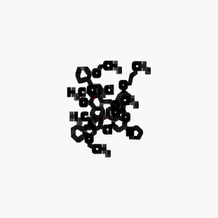 CCCCOc1ccc2c(c1)C(/C=C(/c1cc(C)c(-c3ccccc3OCC)cc1Cl)c1ccc(N3CCCC3)cc1C(=O)CC)(/C=C(/c1cc(C)c(-c3ccccc3OCC)cc1Cl)c1ccc(N3CCCC3)cc1C(=O)CC)OC2=O